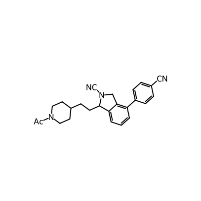 CC(=O)N1CCC(CCC2c3cccc(-c4ccc(C#N)cc4)c3CN2C#N)CC1